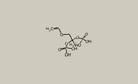 C=COCC(C)(OP(=O)(O)O)OP(=O)(O)O